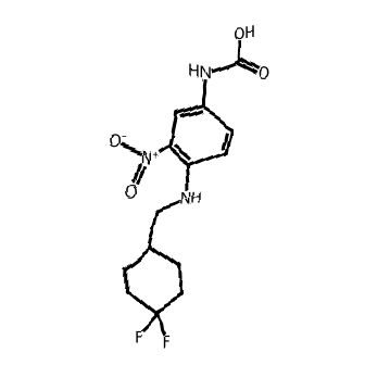 O=C(O)Nc1ccc(NCC2CCC(F)(F)CC2)c([N+](=O)[O-])c1